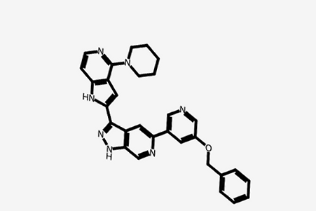 c1ccc(COc2cncc(-c3cc4c(-c5cc6c(N7CCCCC7)nccc6[nH]5)n[nH]c4cn3)c2)cc1